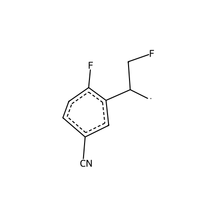 [CH2]C(CF)c1cc(C#N)ccc1F